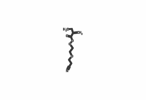 C=C(CC)C(=O)OOCCOCCC#N